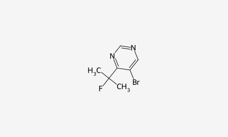 CC(C)(F)c1ncncc1Br